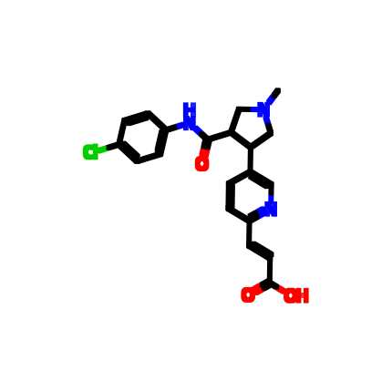 CN1CC(C(=O)Nc2ccc(Cl)cc2)C(c2ccc(/C=C/C(=O)O)nc2)C1